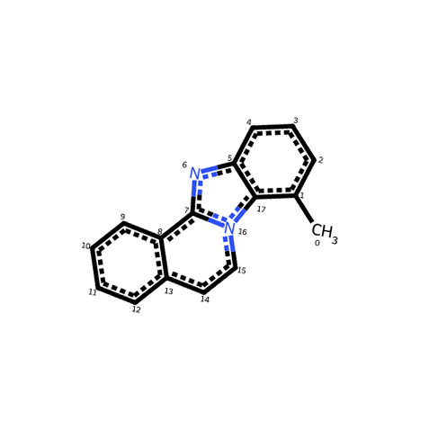 Cc1cccc2nc3c4ccccc4ccn3c12